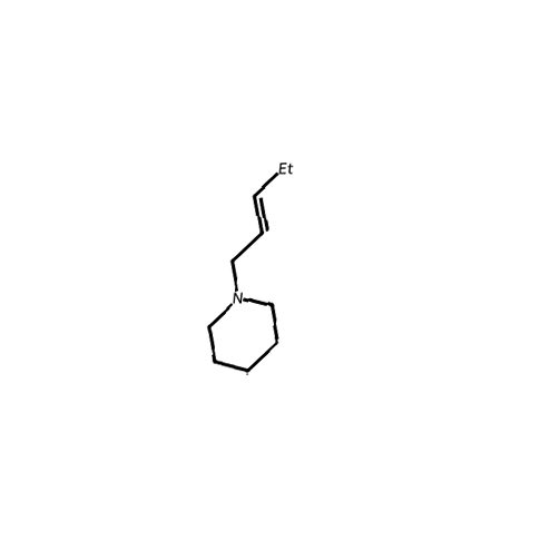 CCC=CCN1CC[CH]CC1